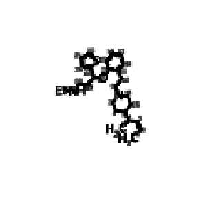 C=C(/C=C\C)C1CCN(CCc2ccccc2OC(CCNCC)c2cccs2)CC1